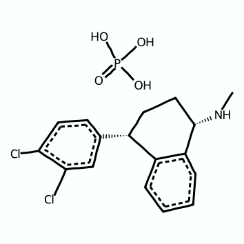 CN[C@H]1CC[C@@H](c2ccc(Cl)c(Cl)c2)c2ccccc21.O=P(O)(O)O